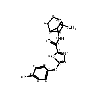 CC1C(NC(=O)c2ncc(Oc3ccc(F)cc3)o2)C2CCN1CC2